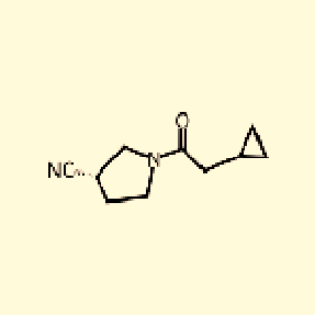 N#C[C@H]1CCN(C(=O)CC2CC2)C1